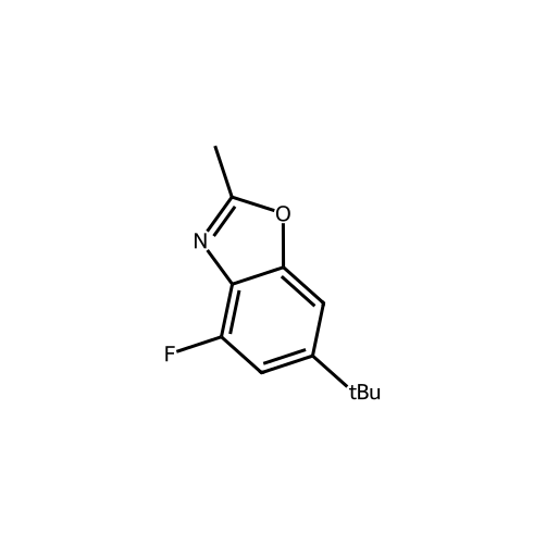 Cc1nc2c(F)cc(C(C)(C)C)cc2o1